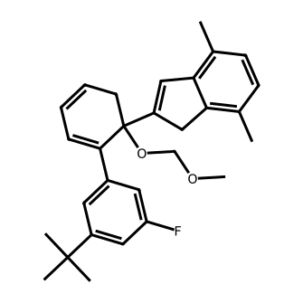 COCOC1(C2=Cc3c(C)ccc(C)c3C2)CC=CC=C1c1cc(F)cc(C(C)(C)C)c1